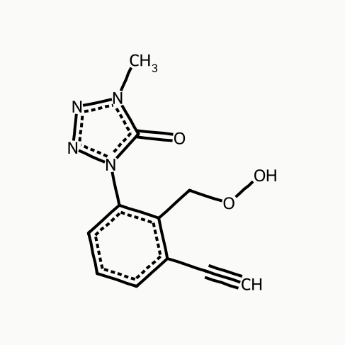 C#Cc1cccc(-n2nnn(C)c2=O)c1COO